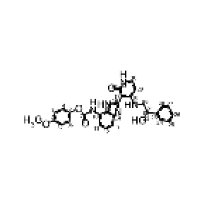 COc1ccc(OC(=O)Nc2cccc3nc(-c4c(NC[C@@H](O)c5ccccc5)cc[nH]c4=O)[nH]c23)cc1